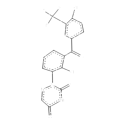 O=C(c1ccc(Cl)c(C(F)(F)F)c1)c1cccc(-n2ncc(=O)[nH]c2=O)c1Cl